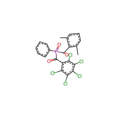 Cc1cccc(C)c1C(=O)P(=O)(C(=O)c1c(Cl)c(Cl)c(Cl)c(Cl)c1Cl)c1ccccc1